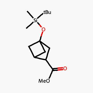 COC(=O)C1CC2(O[Si](C)(C)C(C)(C)C)CC1C2